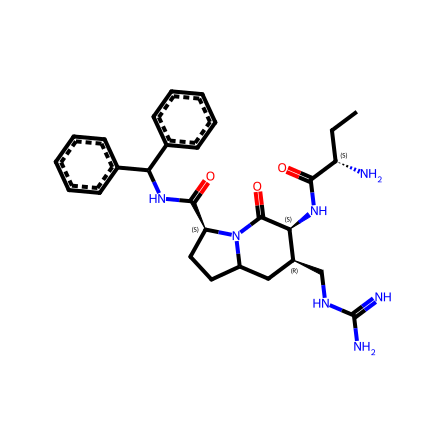 CC[C@H](N)C(=O)N[C@@H]1C(=O)N2C(CC[C@H]2C(=O)NC(c2ccccc2)c2ccccc2)C[C@@H]1CNC(=N)N